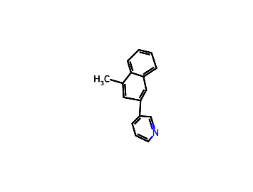 Cc1cc(-c2cccnc2)cc2ccccc12